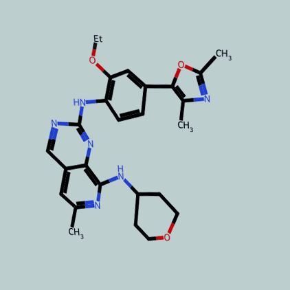 CCOc1cc(-c2oc(C)nc2C)ccc1Nc1ncc2cc(C)nc(NC3CCOCC3)c2n1